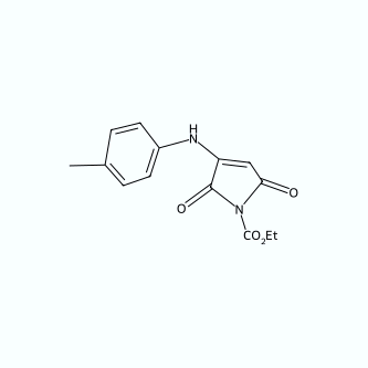 CCOC(=O)N1C(=O)C=C(Nc2ccc(C)cc2)C1=O